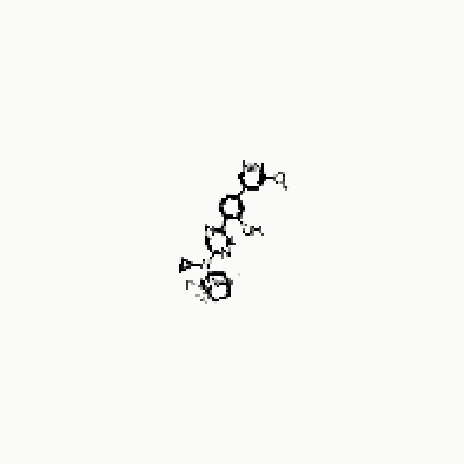 COc1cc(-c2ccc(-c3ncc(N(C4CC4)[C@@H]4C[C@@]5(C)CC[C@](C)(N5)[C@@H]4F)nn3)c(O)c2)cnn1